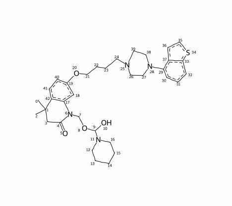 CC1(C)CC(=O)N(COC(O)N2CCCCC2)c2cc(OCCCCN3CCN(c4cccc5sccc45)CC3)ccc21